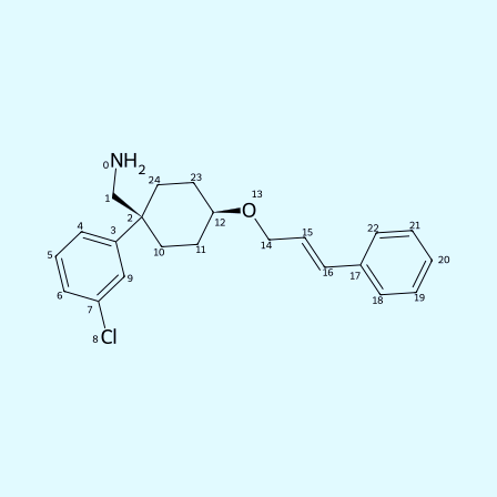 NC[C@]1(c2cccc(Cl)c2)CC[C@H](OC/C=C/c2ccccc2)CC1